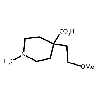 COCCC1(C(=O)O)CCN(C)CC1